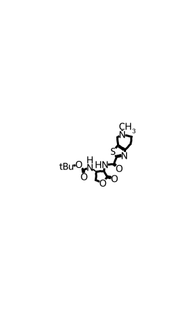 CN1CCc2nc(C(=O)NC3C(=O)OC[C@H]3NC(=O)OC(C)(C)C)sc2C1